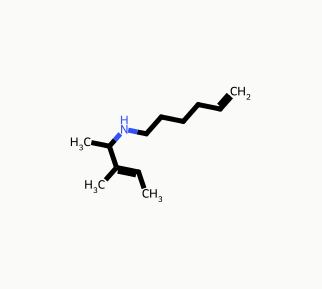 C=CCCCCNC(C)C(C)=CC